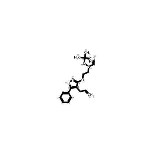 C=CCc1c(OCCN(C=O)OC(C)(C)C)noc1-c1ccccc1